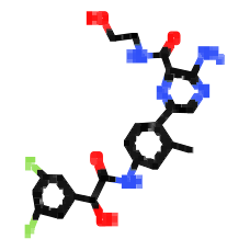 Cc1cc(NC(=O)[C@@H](O)c2cc(F)cc(F)c2)ccc1-c1cnc(N)c(C(=O)NCCO)n1